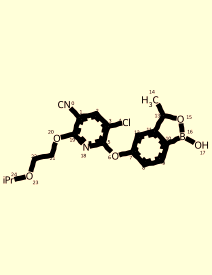 [C-]#[N+]c1cc(Cl)c(Oc2ccc3c(c2)C(C)OB3O)nc1OCCOC(C)C